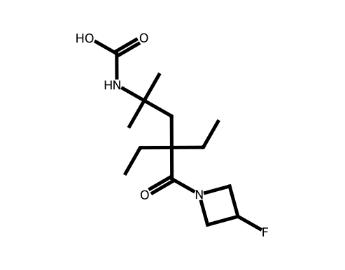 CCC(CC)(CC(C)(C)NC(=O)O)C(=O)N1CC(F)C1